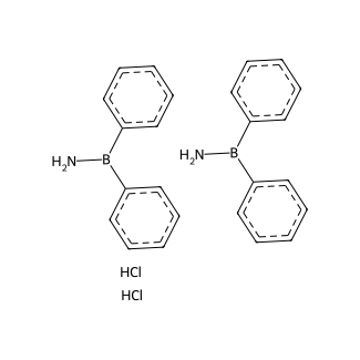 Cl.Cl.NB(c1ccccc1)c1ccccc1.NB(c1ccccc1)c1ccccc1